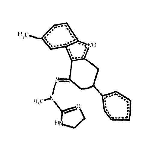 Cc1ccc2[nH]c3c(c2c1)C(=NN(C)C1=NCCN1)CC(c1ccccc1)C3